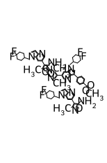 COC(=O)c1ccc(-c2cn(CC3CCC(F)(F)CC3)c3cc(-c4c(C)noc4C)cnc23)cc1.Cc1noc(N)c1-c1cnc2ccn(CC3CCC(F)(F)CC3)c2c1.Cc1onc(N)c1-c1cnc2ccn(CC3CCC(F)(F)CC3)c2c1